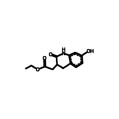 CCOC(=O)CC1Cc2ccc(O)cc2NC1=O